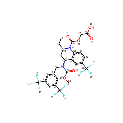 CC[C@@H]1C[C@H](N(Cc2cc(C(F)(F)F)cc(C(F)(F)F)c2)C(=O)OC)c2cc(C(F)(F)F)ccc2N1C(=O)OCC(=O)O